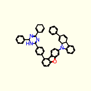 C1=CC(C2=NC(c3ccccc3)NC(c3ccc(-c4cccc5oc6cc(N7c8ccccc8C8C=CC(c9ccccc9)=CC87)ccc6c45)cc3)=N2)=CCC1